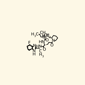 CC[C@H]1CCCCN1C(=O)CC[C@H](NC(=O)N(C)CC(C)C)C(=O)N[C@@H](C)c1nc2c(F)cccc2[nH]1